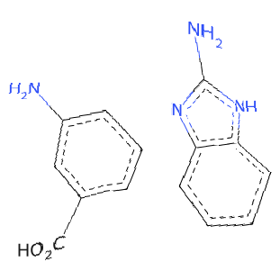 Nc1cccc(C(=O)O)c1.Nc1nc2ccccc2[nH]1